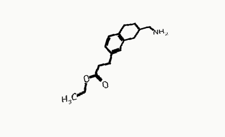 CCOC(=O)CCc1ccc2c(c1)CC(CN)CC2